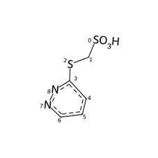 O=S(=O)(O)CSc1cccnn1